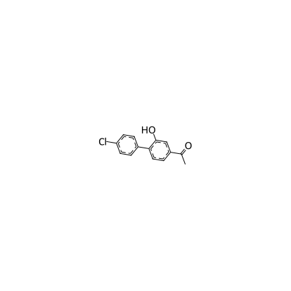 CC(=O)c1ccc(-c2ccc(Cl)cc2)c(O)c1